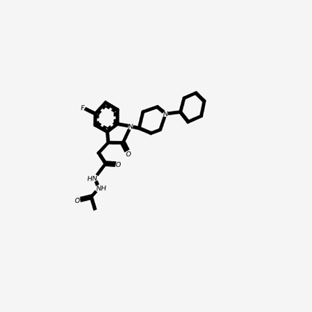 CC(=O)NNC(=O)CC1C(=O)N(C2CCN(C3CCCCC3)CC2)c2ccc(F)cc21